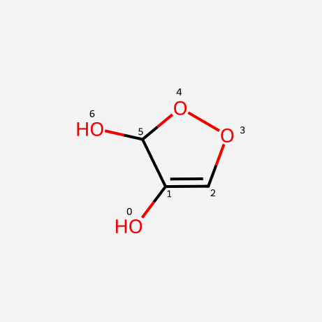 OC1=COOC1O